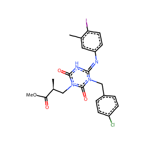 COC(=O)[C@@H](C)Cn1c(=O)[nH]/c(=N\c2ccc(I)c(C)c2)n(Cc2ccc(Cl)cc2)c1=O